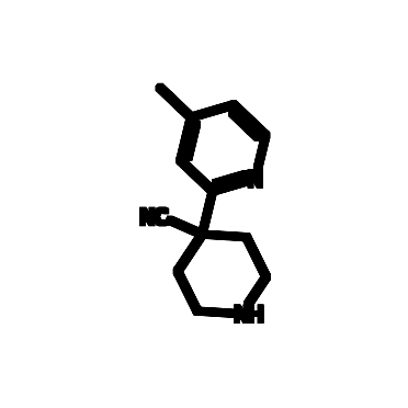 Cc1ccnc(C2(C#N)CCNCC2)c1